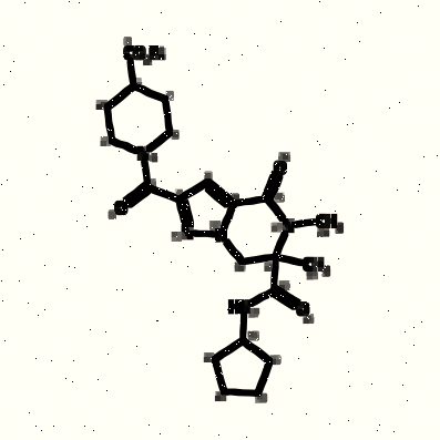 CCOC(=O)C1CCN(C(=O)c2cc3n(n2)CC(C)(C(=O)NC2CCCC2)N(C)C3=O)CC1